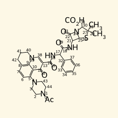 CC(=O)N1CCN(c2ccc3c4c2c(=O)c(C(=O)NC(C(=O)NC2C(=O)N5C2SC(C)(C)C5C(=O)O)c2ccccc2)cn4CCC3)CC1